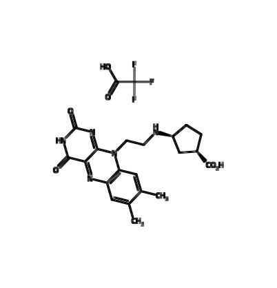 Cc1cc2nc3c(=O)[nH]c(=O)nc-3n(CCN[C@H]3CC[C@@H](C(=O)O)C3)c2cc1C.O=C(O)C(F)(F)F